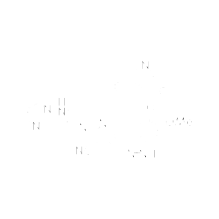 COc1cc2[nH]nc(-c3cnc(N4CC(N)(Cc5ncccn5)C4)c(C#N)c3)c2cc1O[C@H](C)c1c(Cl)cncc1Cl